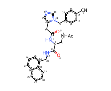 CC(=O)NC[C@H](NC(=O)Cc1cncn1Cc1ccc(C#N)cc1)C(=O)NCc1cccc2ccccc12